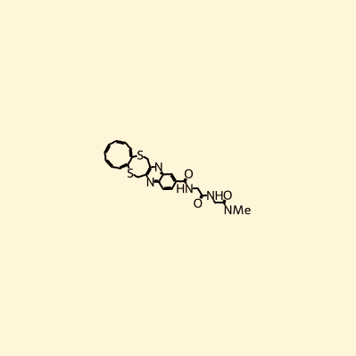 CNC(=O)CNC(=O)CNC(=O)c1ccc2nc3c(nc2c1)CSc1ccccccccc1SC3